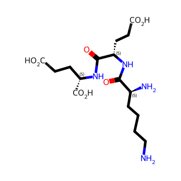 NCCCC[C@H](N)C(=O)N[C@@H](CCC(=O)O)C(=O)N[C@@H](CCC(=O)O)C(=O)O